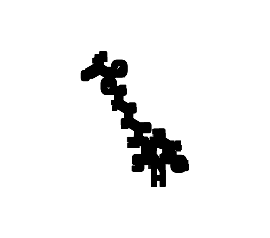 C=C(C)C(=O)OCCCCCCn1ccc(=O)[nH]c1=S